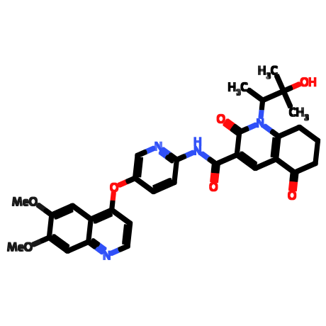 COc1cc2nccc(Oc3ccc(NC(=O)c4cc5c(n(C(C)C(C)(C)O)c4=O)CCCC5=O)nc3)c2cc1OC